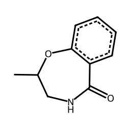 CC1CNC(=O)c2ccccc2O1